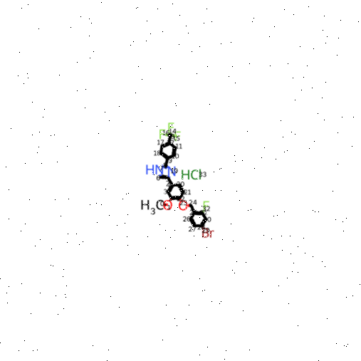 COc1cc(-c2c[nH]c(-c3ccc(C(F)(F)F)cc3)n2)ccc1OCc1ccc(Br)cc1F.Cl